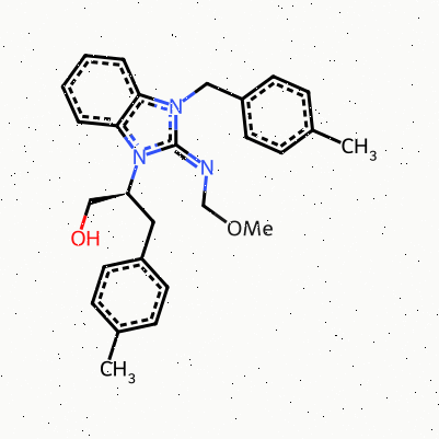 COC/N=c1/n(Cc2ccc(C)cc2)c2ccccc2n1[C@H](CO)Cc1ccc(C)cc1